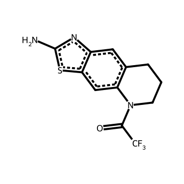 Nc1nc2cc3c(cc2s1)N(C(=O)C(F)(F)F)CCC3